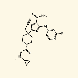 C[C@H](OC(=O)N1CCC(CC#N)(n2cc(C(N)=O)c(Nc3ccnc(F)c3)n2)CC1)C1CC1